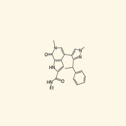 CCNC(=O)c1cc2c(-c3cn(C)nc3C(C)c3ccccc3)cn(C)c(=O)c2[nH]1